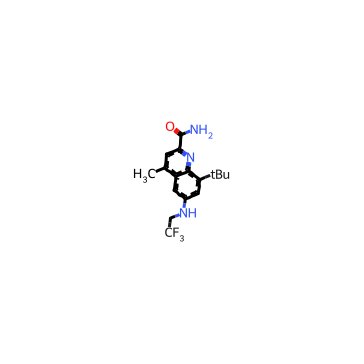 Cc1cc(C(N)=O)nc2c(C(C)(C)C)cc(NCC(F)(F)F)cc12